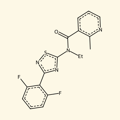 CCN(C(=O)c1cccnc1C)c1nc(-c2c(F)cccc2F)ns1